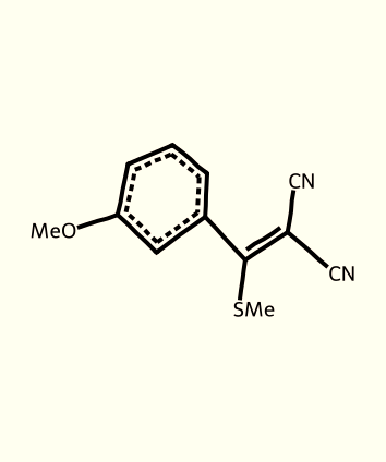 COc1cccc(C(SC)=C(C#N)C#N)c1